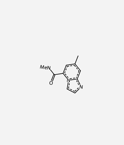 CNC(=O)c1cc(C)cc2nccn12